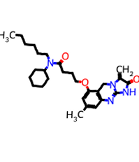 C=c1c(=O)[nH]c2n1Cc1c(cc(C)cc1OCCCC(=O)N(CCCCCC)C1CCCCC1)N=2